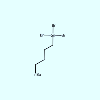 CCCCCCC[CH2][Sn]([Br])([Br])[Br]